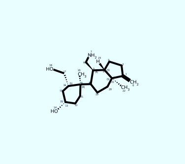 C=C1CC[C@H]2[C@H](CN)C([C@@]3(C)CC[C@H](O)C[C@@H]3CO)CC[C@]12C